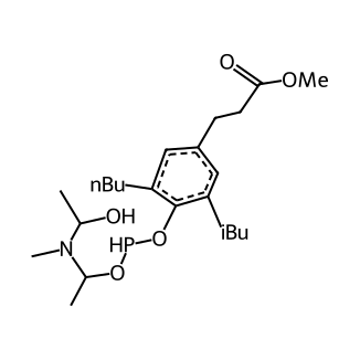 CCCCc1cc(CCC(=O)OC)cc(C(C)CC)c1OPOC(C)N(C)C(C)O